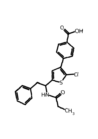 CCC(=O)NC(Cc1ccccc1)c1cc(-c2ccc(C(=O)O)cc2)c(Cl)s1